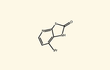 CC(C)c1ccnc2sc(=O)[nH]c12